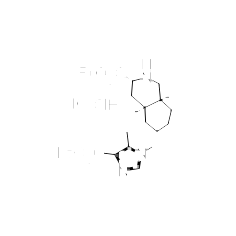 CCOC(=O)c1ncn(C[C@H]2CC[C@H]3CN[C@H](C(=O)OCC)C[C@H]3C2)c1C.Cl.Cl